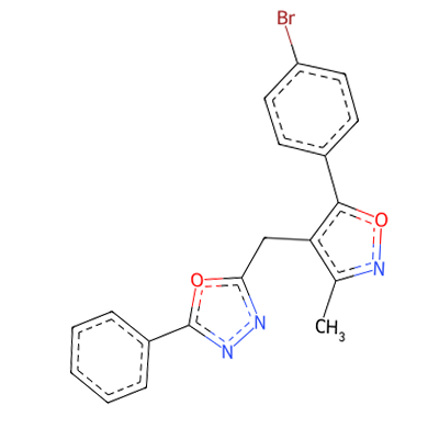 Cc1noc(-c2ccc(Br)cc2)c1Cc1nnc(-c2ccccc2)o1